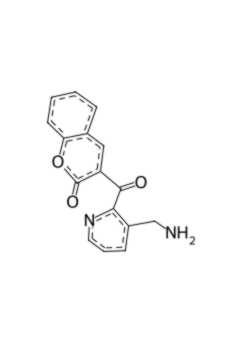 NCc1cccnc1C(=O)c1cc2ccccc2oc1=O